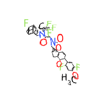 COc1cc(F)c(C2C=CC3=C(CC[C@]34CN(CC(=O)N(Cc3ccc(F)cc3)[C@@H](C)C(F)(F)F)C(=O)O4)C2=O)cc1F